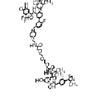 Cc1ncsc1-c1ccc(CNC(=O)[C@@H]2C[C@@H](O)CN2C(=O)[C@@H](NC(=O)COCCOCCOCC(=O)NCCN2CCN(Cc3ccc(F)c(-c4ccc(N5C[C@@H](C)N(C)[C@@H](C)C5)c(NC(=O)c5c[nH]c(=O)cc5C(F)(F)F)c4)c3)CC2)C(C)(C)C)cc1